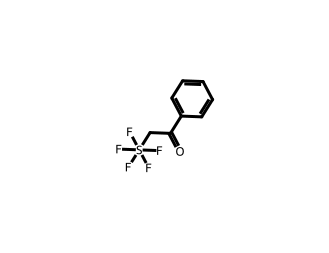 O=C(CS(F)(F)(F)(F)F)c1ccccc1